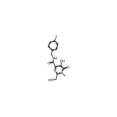 Cn1c(CO)nc(C(=O)NCc2ccc(F)cc2)c(O)c1=O